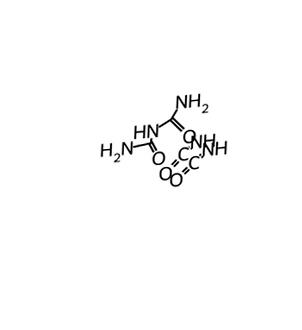 N=C=O.N=C=O.NC(=O)NC(N)=O